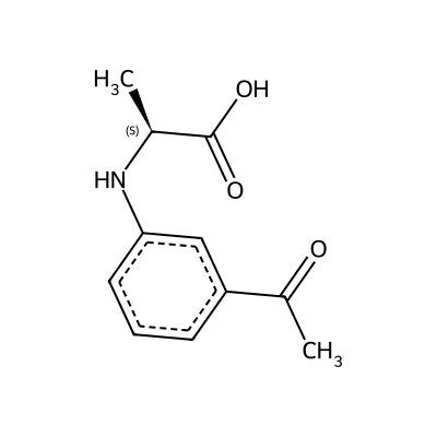 CC(=O)c1cccc(N[C@@H](C)C(=O)O)c1